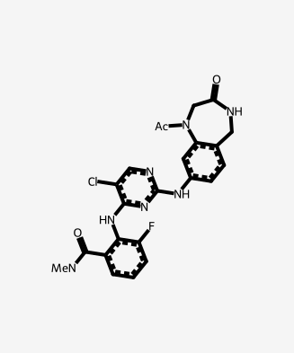 CNC(=O)c1cccc(F)c1Nc1nc(Nc2ccc3c(c2)N(C(C)=O)CC(=O)NC3)ncc1Cl